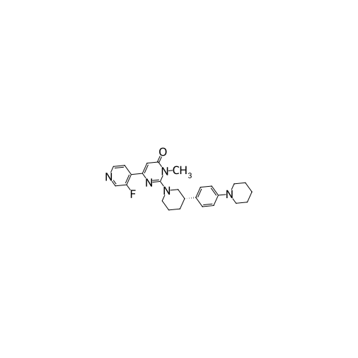 Cn1c(N2CCC[C@@H](c3ccc(N4CCCCC4)cc3)C2)nc(-c2ccncc2F)cc1=O